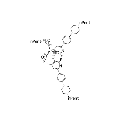 CCCCC[C@@H]1O[C@H]1Cc1cc(-c2ccc([C@H]3CC[C@H](CCCCC)CC3)cc2)nc(F)c1Oc1c(C[C@@H]2O[C@H]2CCCCC)cc(-c2ccc([C@H]3CC[C@H](CCCCC)CC3)cc2)nc1F